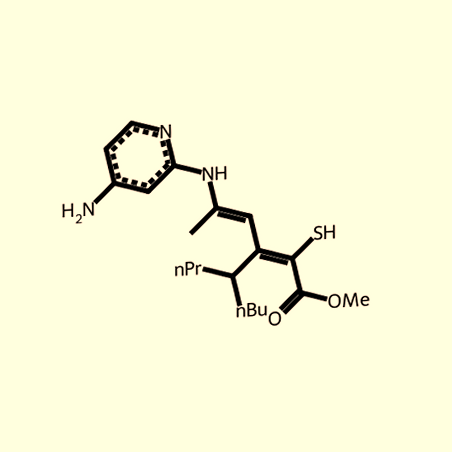 CCCCC(CCC)C(/C=C(\C)Nc1cc(N)ccn1)=C(/S)C(=O)OC